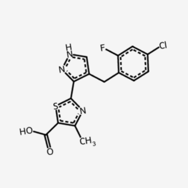 Cc1nc(-c2n[nH]cc2Cc2ccc(Cl)cc2F)sc1C(=O)O